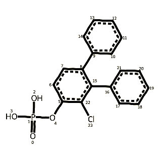 O=P(O)(O)Oc1ccc(-c2ccccc2)c(-c2ccccc2)c1Cl